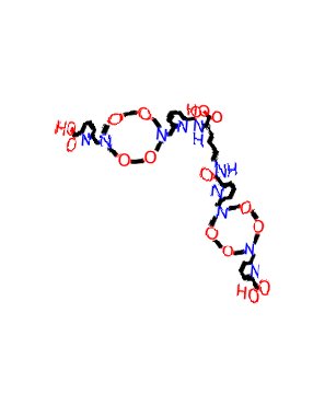 O=C(O)c1cccc(CN2CCOCCOCCN(Cc3cccc(C(=O)NCCCC[C@@H](NC(=O)c4cccc(CN5CCOCCOCCN(Cc6cccc(C(=O)O)n6)CCOCCOCC5)n4)C(=O)O)n3)CCOCCOCC2)n1